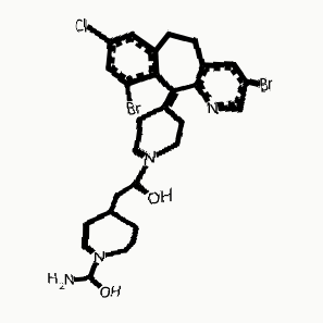 NC(O)N1CCC(CC(O)N2CCC(=C3c4ncc(Br)cc4CCc4cc(Cl)cc(Br)c43)CC2)CC1